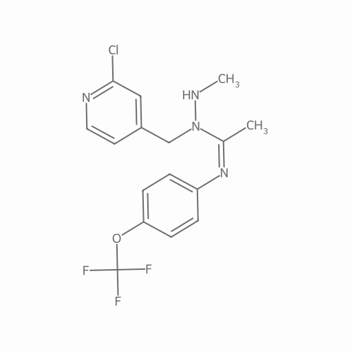 CNN(Cc1ccnc(Cl)c1)/C(C)=N\c1ccc(OC(F)(F)F)cc1